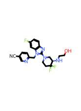 N#Cc1ccc(Cn2c(N3CCC(F)(F)[C@H](NCCO)C3)nc3ccc(F)cc32)nc1